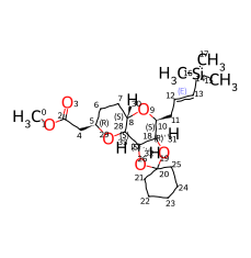 COC(=O)C[C@H]1CC[C@@H]2O[C@@H](C/C=C/[Si](C)(C)C)[C@H]3OC4(CCCCC4)O[C@H]3[C@H]2O1